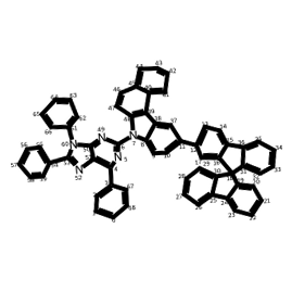 c1ccc(-c2nc(-n3c4ccc(-c5ccc6c(c5)C5(c7ccccc7-c7ccccc75)c5ccccc5-6)cc4c4c5ccccc5ccc43)nc3c2nc(-c2ccccc2)n3-c2ccccc2)cc1